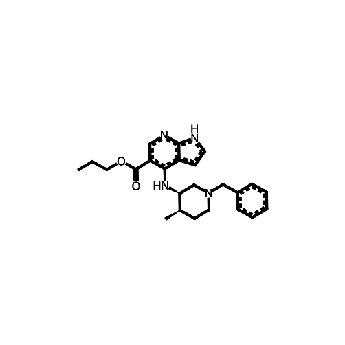 CCCOC(=O)c1cnc2[nH]ccc2c1N[C@H]1CN(Cc2ccccc2)CC[C@H]1C